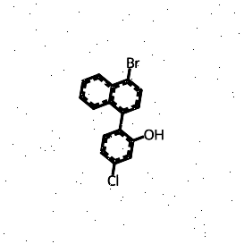 Oc1cc(Cl)ccc1-c1ccc(Br)c2ccccc12